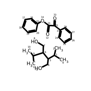 CC(C)C(CO)C(CO)C(C)C.O=C(Oc1ccccc1)C(=O)c1ccccc1